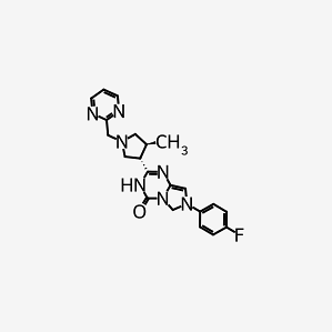 C[C@@H]1CN(Cc2ncccn2)C[C@H]1C1=NC2=CN(c3ccc(F)cc3)CN2C(=O)N1